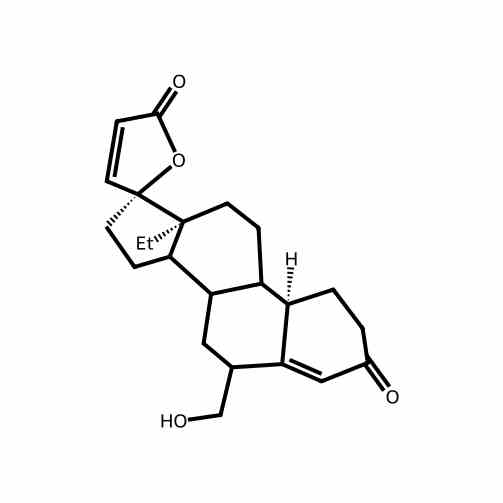 CC[C@]12CCC3C(CC(CO)C4=CC(=O)CC[C@@H]43)C1CC[C@@]21C=CC(=O)O1